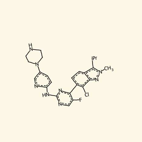 CC(C)c1c2ccc(-c3nc(Nc4ccc(N5CCNCC5)cn4)ncc3F)c(Cl)c2nn1C